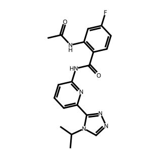 CC(=O)Nc1cc(F)ccc1C(=O)Nc1cccc(-c2nncn2C(C)C)n1